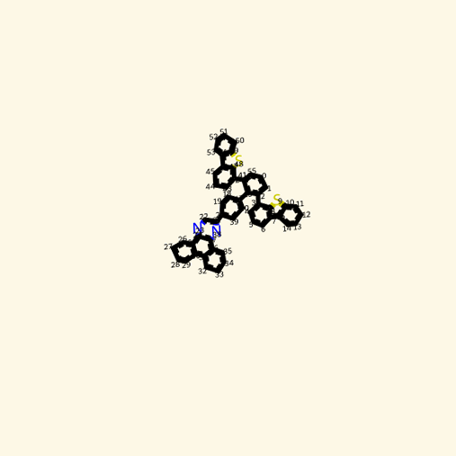 c1cc(-c2cccc3c2sc2ccccc23)c(-c2ccc(-c3cnc4c5ccccc5c5ccccc5c4n3)cc2)c(-c2cccc3c2sc2ccccc23)c1